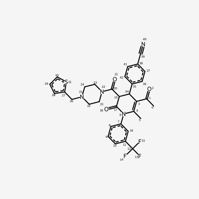 CC(=O)C1=C(C)N(c2cccc(C(F)(F)F)c2)C(=O)C(C(=O)N2CCN(Cc3cccs3)CC2)C1c1ccc(C#N)cc1